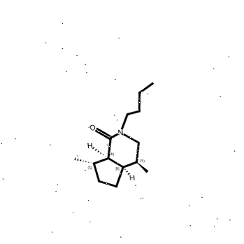 CCCCN1C[C@@H](C)[C@H]2CC[C@H](C)[C@H]2C1=O